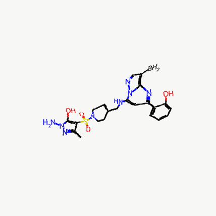 Bc1cnn2c(NCC3CCN(S(=O)(=O)c4c(C)nn(N)c4O)CC3)cc(-c3ccccc3O)nc12